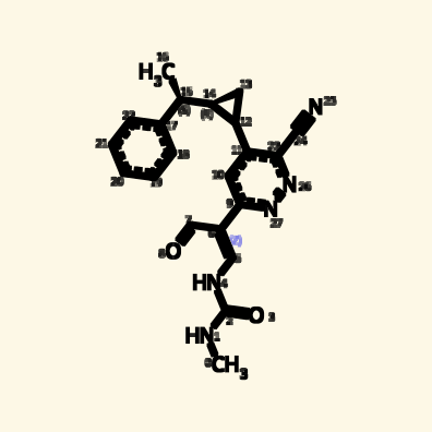 CNC(=O)N/C=C(\C=O)c1cc(C2C[C@@H]2[C@H](C)c2ccccc2)c(C#N)nn1